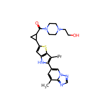 Cc1cc(-c2[nH]c3cc(C4CC4C(=O)N4CCN(CCO)CC4)sc3c2C(C)C)cn2ncnc12